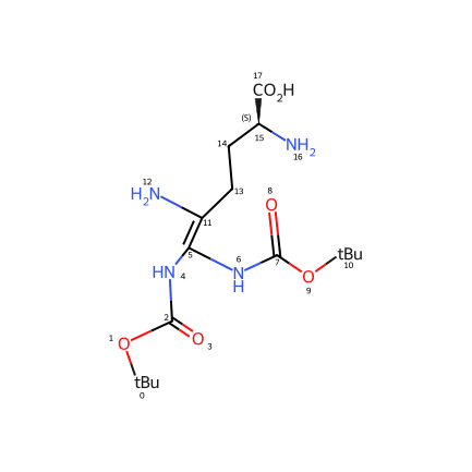 CC(C)(C)OC(=O)NC(NC(=O)OC(C)(C)C)=C(N)CC[C@H](N)C(=O)O